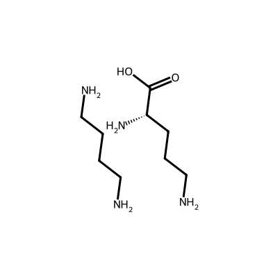 NCCCCN.NCCC[C@H](N)C(=O)O